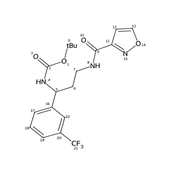 CC(C)(C)OC(=O)NC(CCNC(=O)c1ccon1)c1cccc(C(F)(F)F)c1